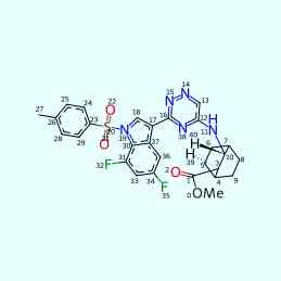 COC(=O)[C@@H]1C2CCC(CC2)[C@H]1Nc1cnnc(-c2cn(S(=O)(=O)c3ccc(C)cc3)c3c(F)cc(F)cc23)n1